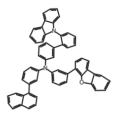 c1cc(-c2ccccc2-n2c3ccccc3c3ccccc32)cc(N(c2cccc(-c3cccc4ccccc34)c2)c2cccc(-c3cccc4c3oc3ccccc34)c2)c1